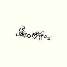 Cc1nc(-c2ccc(NS(=O)(=O)c3cc(Cl)ccc3Cl)cc2)nc2[nH]nc(NC(=O)C3CC(O)C3)c12